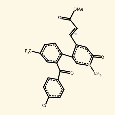 COC(=O)/C=C/c1cc(=O)n(C)cc1-c1ccc(C(F)(F)F)cc1C(=O)c1ccc(Cl)cc1